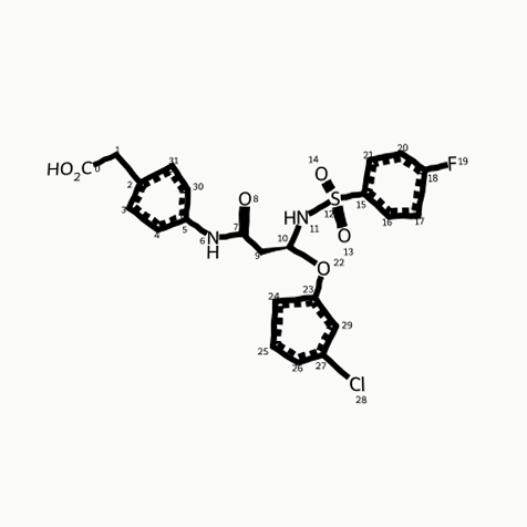 O=C(O)Cc1ccc(NC(=O)C[C@@H](NS(=O)(=O)c2ccc(F)cc2)Oc2cccc(Cl)c2)cc1